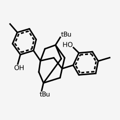 Cc1ccc(C23CC4(c5ccc(C)cc5O)CC(C(C)(C)C)(C2)CC(C(C)(C)C)(C3)C4)c(O)c1